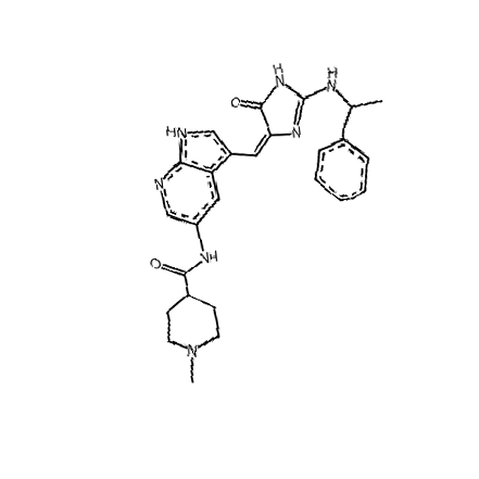 CC(NC1=NC(=Cc2c[nH]c3ncc(NC(=O)C4CCN(C)CC4)cc23)C(=O)N1)c1ccccc1